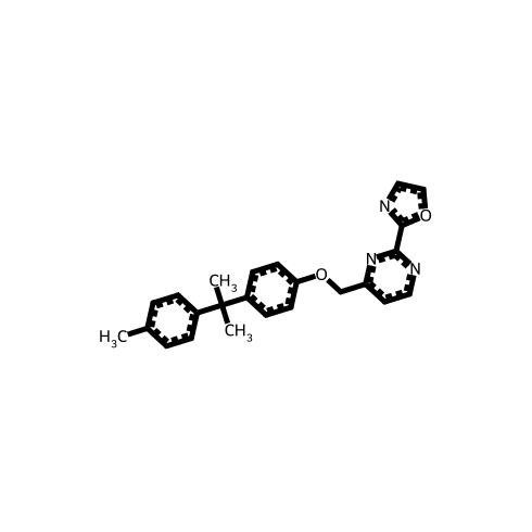 Cc1ccc(C(C)(C)c2ccc(OCc3ccnc(-c4ncco4)n3)cc2)cc1